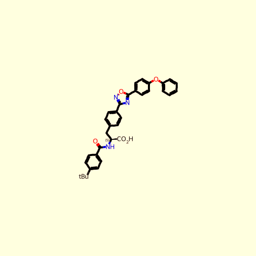 CC(C)(C)c1ccc(C(=O)N[C@@H](Cc2ccc(-c3noc(-c4ccc(Oc5ccccc5)cc4)n3)cc2)C(=O)O)cc1